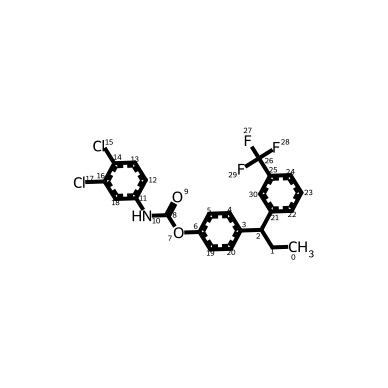 CC[C](c1ccc(OC(=O)Nc2ccc(Cl)c(Cl)c2)cc1)c1cccc(C(F)(F)F)c1